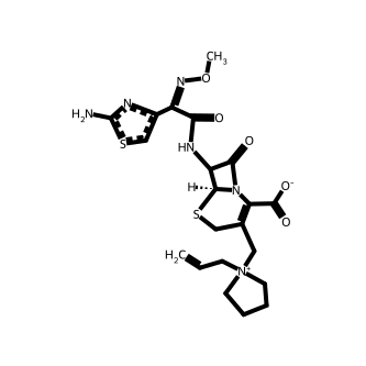 C=CC[N+]1(CC2=C(C(=O)[O-])N3C(=O)C(NC(=O)/C(=N\OC)c4csc(N)n4)[C@@H]3SC2)CCCC1